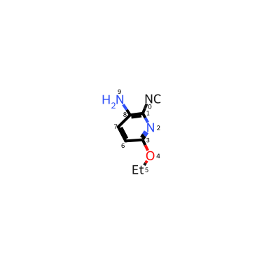 [C-]#[N+]c1nc(OCC)ccc1N